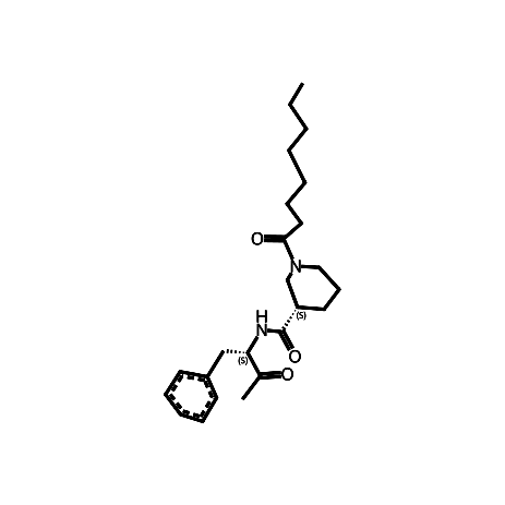 CCCCCCCC(=O)N1CCC[C@H](C(=O)N[C@@H](Cc2ccccc2)C(C)=O)C1